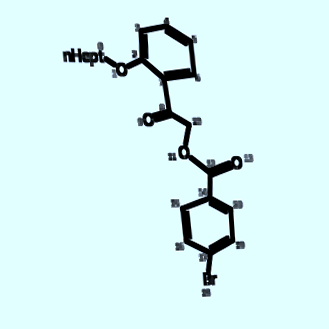 CCCCCCCOc1ccccc1C(=O)COC(=O)c1ccc(Br)cc1